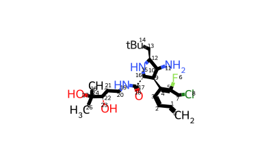 C=C/C=C\C(=C(\F)CCl)[C@@H]1C(N)[C@H](CC(C)(C)C)N[C@H]1C(=O)NCC[C@H](O)C(C)(C)O